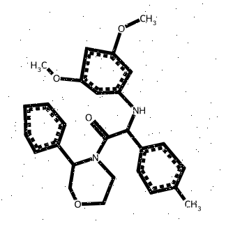 COc1cc(NC(C(=O)N2CCOCC2c2ccccc2)c2ccc(C)cc2)cc(OC)c1